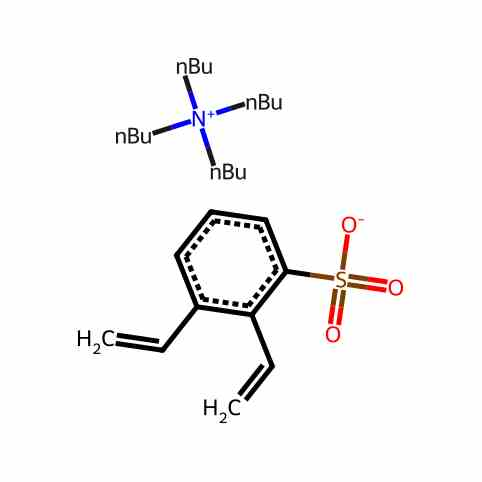 C=Cc1cccc(S(=O)(=O)[O-])c1C=C.CCCC[N+](CCCC)(CCCC)CCCC